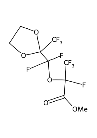 COC(=O)C(F)(OC(F)(F)C1(C(F)(F)F)OCCO1)C(F)(F)F